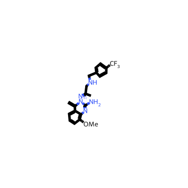 C=C1c2cccc(OC)c2N=C(N)N1/N=C(\C)CNCc1ccc(C(F)(F)F)cc1